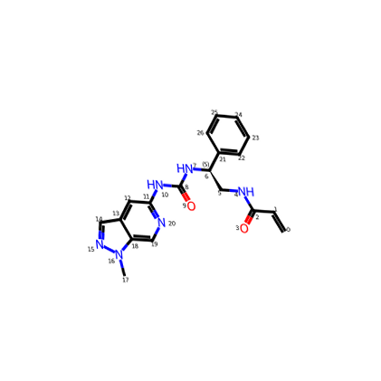 C=CC(=O)NC[C@@H](NC(=O)Nc1cc2cnn(C)c2cn1)c1ccccc1